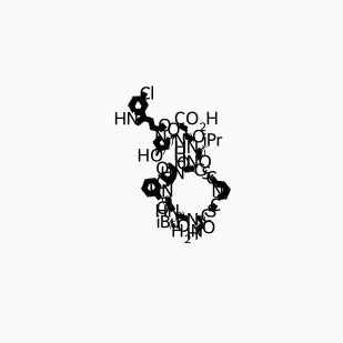 CC[C@H](C)[C@@H]1NC(=O)[C@H](CC2CCCCC2)NC(=O)C2(CCOCC2)NC(=O)[C@@H](NC(=O)[C@@H](CC(C)C)NC(=O)[C@H](CCC(=O)O)NC(=O)[C@@H]2C[C@@H](O)CN2C(=O)CCc2c[nH]c3ccc(Cl)cc23)CSCc2cccc(n2)CSC[C@@H](C(N)=O)NC1=O